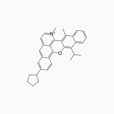 Cc1c2c(c(C(C)C)c3ccccc13)Oc1c3ccc(C4CCCC4)cc3cc3cc[n+](C)c-2c13